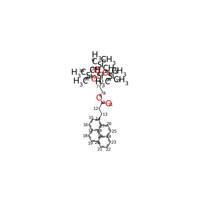 C[Si](C)(C)O[Si](CCCOC(=O)CCc1ccc2ccc3cccc4ccc1c2c34)(O[Si](C)(C)C)O[Si](C)(C)C